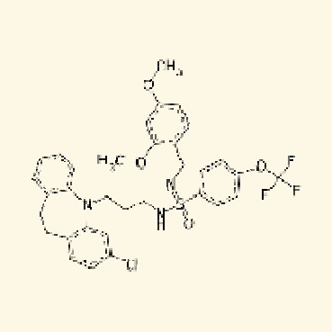 COc1ccc(CN=S(=O)(NCCCN2c3ccccc3CCc3ccc(Cl)cc32)c2ccc(OC(F)(F)F)cc2)c(OC)c1